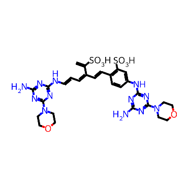 C=C(C(=C\C=C\Nc1nc(N)nc(N2CCOCC2)n1)/C=C/c1ccc(Nc2nc(N)nc(N3CCOCC3)n2)cc1S(=O)(=O)O)S(=O)(=O)O